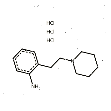 Cl.Cl.Cl.Nc1ccccc1CCN1CCCCC1